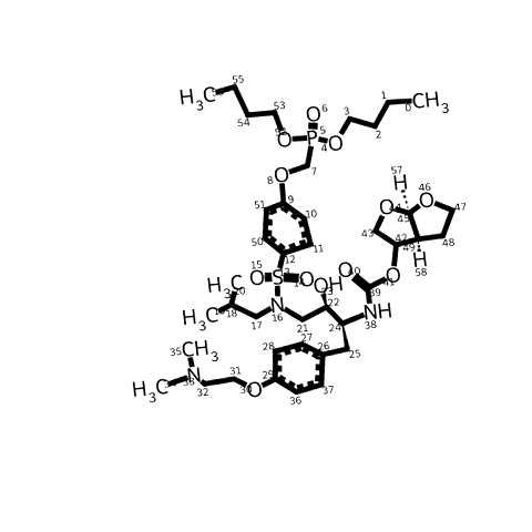 CCCCOP(=O)(COc1ccc(S(=O)(=O)N(CC(C)C)C[C@@H](O)[C@H](Cc2ccc(OCCN(C)C)cc2)NC(=O)OC2CO[C@H]3OCC[C@@H]23)cc1)OCCCC